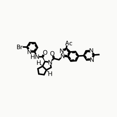 CC(=O)c1nn(CC(=O)N2C[C@H]3CCC[C@H]3[C@H]2C(=O)Nc2cccc(Br)n2)c2ccc(-c3cnc(C)nc3)cc12